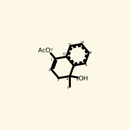 CC(=O)OC1=CCC(C)(O)c2ccccc21